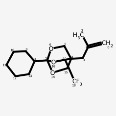 C=C(C)CC12COC(C3CCCCC3)(OC1)OC2C(F)(F)F